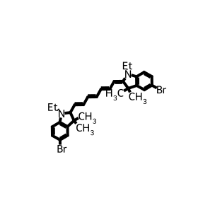 CCN1/C(=C/C=C/C=C/C=C/C2N(CC)c3ccc(Br)cc3C2(C)C)C(C)(C)c2cc(Br)ccc21